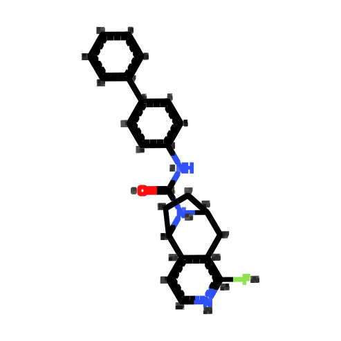 O=C(Nc1ccc(-c2ccccc2)cc1)N1C2CCC1c1ccnc(F)c1C2